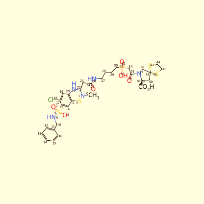 CN1Sc2cc(S(=O)(=O)NCc3ccccc3)c(Cl)cc2NC1CC(=O)NCCCCP(=O)(O)CC(=O)N1CC2(C[C@H]1C(=O)O)SCCS2